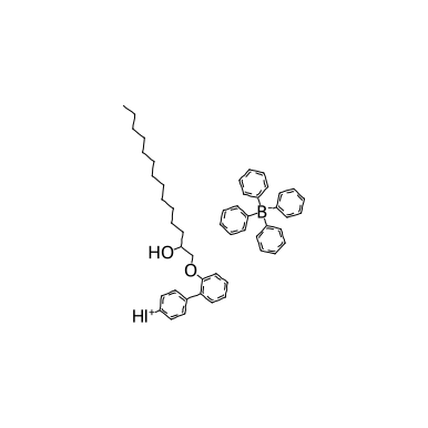 CCCCCCCCCCCCC(O)COc1ccccc1-c1ccc([IH+])cc1.c1ccc([B-](c2ccccc2)(c2ccccc2)c2ccccc2)cc1